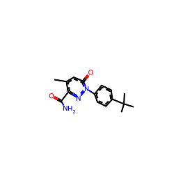 Cc1cc(=O)n(-c2ccc(C(C)(C)C)cc2)nc1C(N)=O